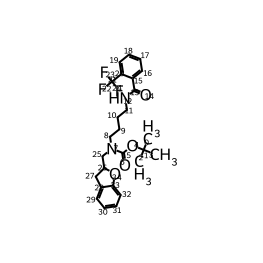 CC(C)(C)OC(=O)N(CCCCNC(=O)c1ccccc1C(F)(F)F)CC1Cc2ccccc2O1